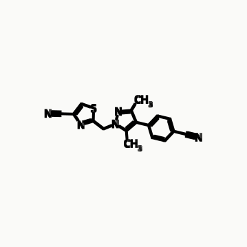 Cc1nn(Cc2nc(C#N)cs2)c(C)c1-c1ccc(C#N)cc1